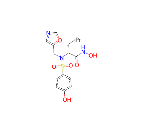 CC(C)C[C@H](C(=O)NO)N(Cc1cnco1)S(=O)(=O)c1ccc(O)cc1